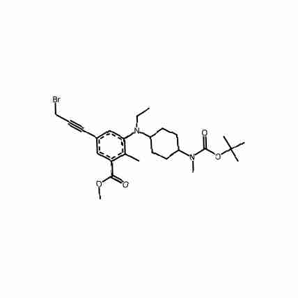 CCN(c1cc(C#CCBr)cc(C(=O)OC)c1C)C1CCC(N(C)C(=O)OC(C)(C)C)CC1